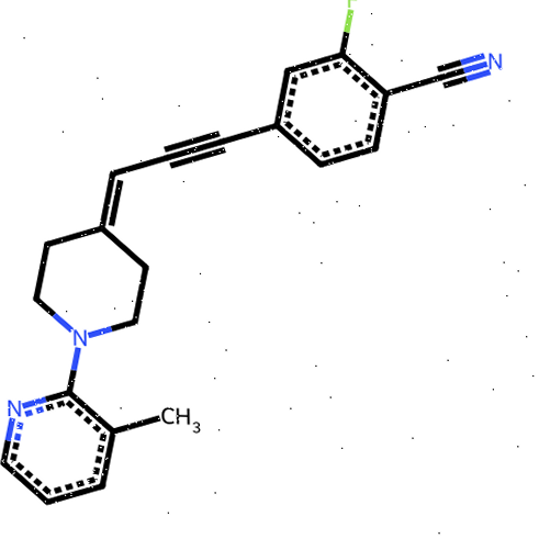 Cc1cccnc1N1CCC(=CC#Cc2ccc(C#N)c(F)c2)CC1